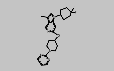 FC1(F)CCC(n2cc(I)c3cnc(OC4CCN(c5ncccn5)CC4)cc32)CC1